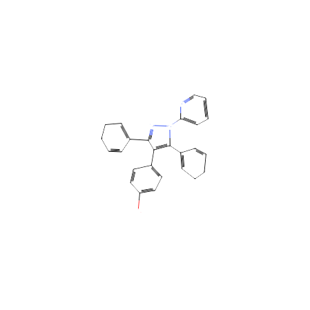 Oc1ccc(-c2c(C3=CCCC=C3)nn(-c3ccccn3)c2C2=CCCC=C2)cc1